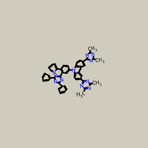 Cc1nc(C)nc(-c2ccc3c(c2)c2cc(-c4nc(C)nc(C)n4)ccc2n3-c2ccc(-c3ccccn3)c(-c3nc(-c4ccccc4)nc(-c4ccccc4)n3)c2)n1